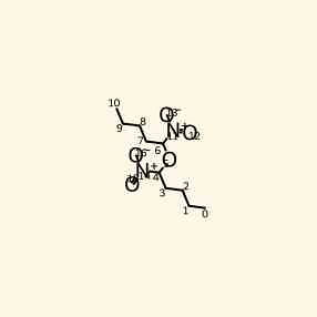 CCCCC(OC(CCCC)[N+](=O)[O-])[N+](=O)[O-]